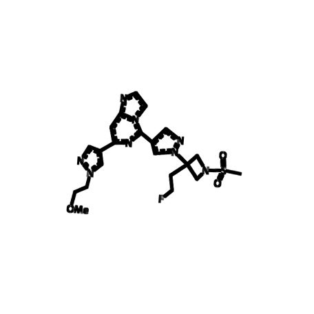 COCCn1cc(-c2cc3nccn3c(-c3cnn(C4(CCF)CN(S(C)(=O)=O)C4)c3)n2)cn1